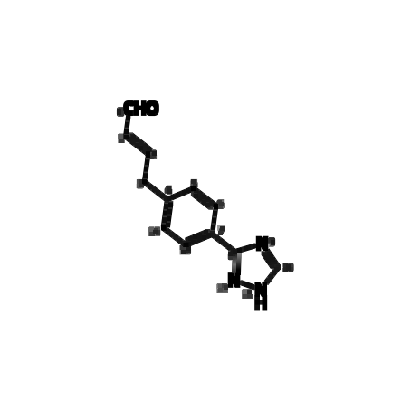 O=CC=CCc1ccc(-c2nc[nH]n2)cc1